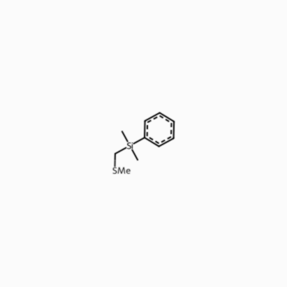 CSC[Si](C)(C)c1ccccc1